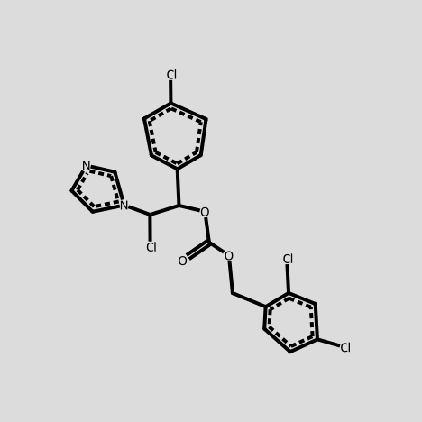 O=C(OCc1ccc(Cl)cc1Cl)OC(c1ccc(Cl)cc1)C(Cl)n1ccnc1